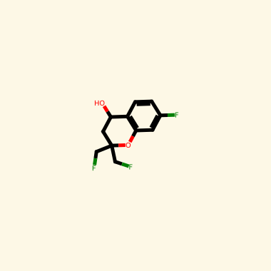 OC1CC(CF)(CF)Oc2cc(F)ccc21